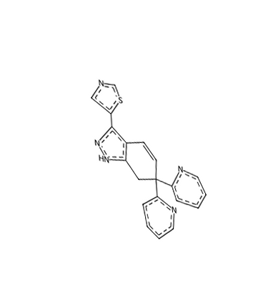 C1=CC(c2ccccn2)(c2ccccn2)Cc2[nH]nc(-c3cncs3)c21